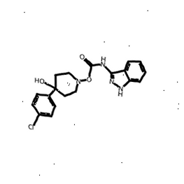 O=C(Nc1n[nH]c2ccccc12)ON1CCC(O)(c2ccc(Cl)cc2)CC1